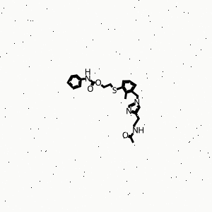 CC(=O)NCCc1cn(Cc2cccc(SCCOC(=O)Nc3ccccc3)c2C)cn1